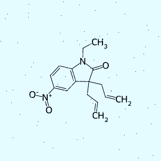 C=CCC1(CC=C)C(=O)N(CC)c2ccc([N+](=O)[O-])cc21